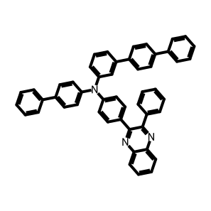 c1ccc(-c2ccc(-c3cccc(N(c4ccc(-c5ccccc5)cc4)c4ccc(-c5nc6ccccc6nc5-c5ccccc5)cc4)c3)cc2)cc1